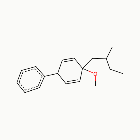 CCC(C)CC1(OC)C=CC(c2ccccc2)C=C1